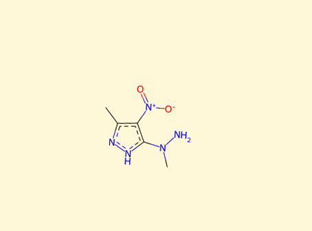 Cc1n[nH]c(N(C)N)c1[N+](=O)[O-]